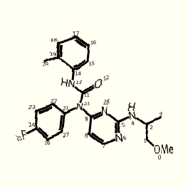 COCC(C)Nc1nccc(N(C(=O)Nc2ccccc2C)c2ccc(F)cc2)n1